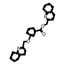 O=C(OCc1ccc2ccccc2n1)c1cccc(OCc2ccc3ccccc3n2)c1